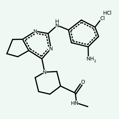 CNC(=O)C1CCCN(c2nc(Nc3cc(N)cc(Cl)c3)nc3c2CCC3)C1.Cl